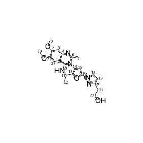 COc1cc2nc(C)nc(NC(C)c3ccc(-n4ccc(CCO)n4)o3)c2cc1OC